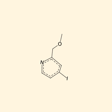 COCc1cc(I)ccn1